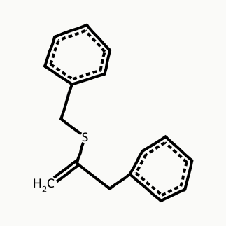 C=C(Cc1ccccc1)SCc1ccccc1